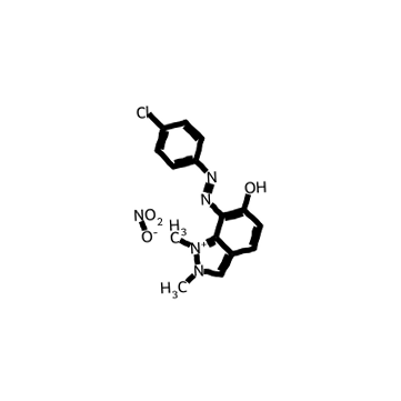 Cn1cc2ccc(O)c(N=Nc3ccc(Cl)cc3)c2[n+]1C.O=[N+]([O-])[O-]